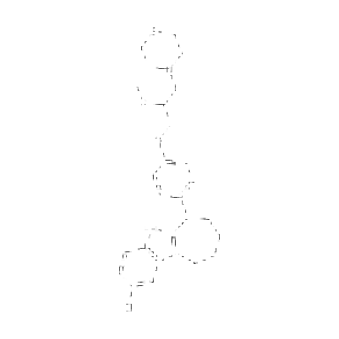 COC(COc1ccc(C2CCCCc3c2[nH]c2ccc(Cl)cc32)cc1)CN1CCSCC1